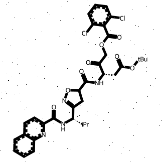 CC(C)[C@H](NC(=O)c1ccc2ccccc2n1)C1=NOC(C(=O)N[C@@H](CC(=O)OC(C)(C)C)C(=O)COC(=O)c2c(Cl)cccc2Cl)C1